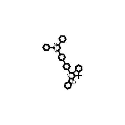 CC1(C)c2ccccc2-c2c(-c3ccc(-c4ccc(-c5cc(-c6ccccc6)nc(-c6ccccc6)n5)cc4)cc3)nc3c(oc4ccccc43)c21